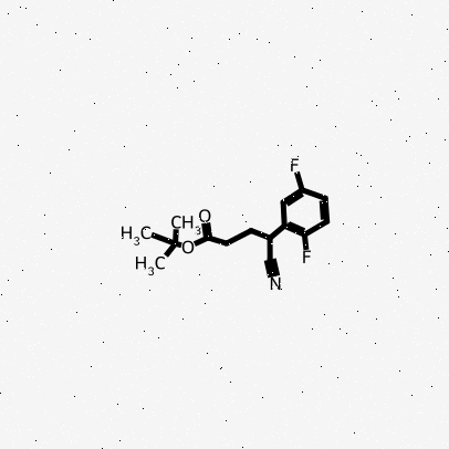 CC(C)(C)OC(=O)CCC(C#N)c1cc(F)ccc1F